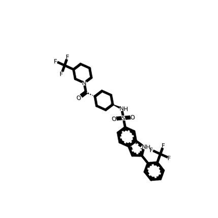 O=C([C@H]1CC[C@H](NS(=O)(=O)c2ccc3cc(-c4ccccc4C(F)(F)F)[nH]c3c2)CC1)N1CCCC(C(F)(F)F)C1